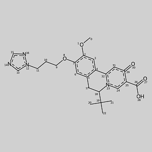 COc1cc2c(cc1OCCCn1cncn1)CC(C(C)(C)C)n1cc(C(=O)O)c(=O)cc1-2